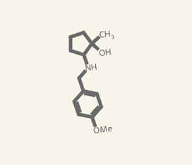 COc1ccc(CNC2CCCC2(C)O)cc1